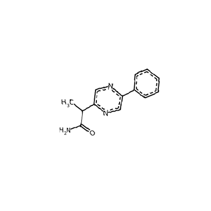 CC(C(N)=O)c1cnc(-c2ccccc2)cn1